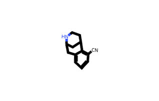 N#Cc1cccc2c1C1CCNC(C2)C1